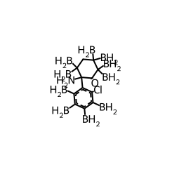 Bc1c(B)c(B)c(C2(N)C(=O)C(B)(B)C(B)(B)CC2(B)B)c(Cl)c1B